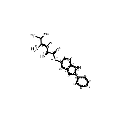 C/C(C(=N)C(=O)Nc1cnc2[nH]c(-c3ccccc3)cc2c1)=C(/N)C(F)F